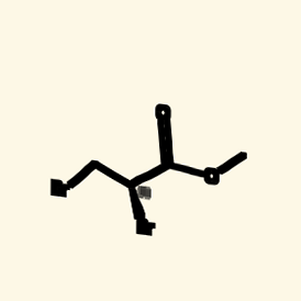 COC(=O)[C@@H](Br)CBr